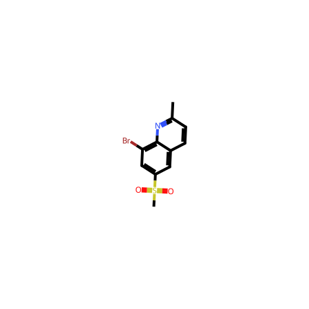 Cc1ccc2cc(S(C)(=O)=O)cc(Br)c2n1